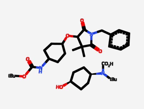 CC(C)(C)N(C(=O)O)[C@H]1CC[C@@H](O)CC1.CC(C)(C)OC(=O)NC1CCC(OC2C(=O)N(Cc3ccccc3)C(=O)C2(C)C)CC1